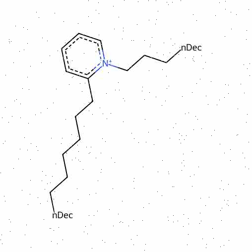 CCCCCCCCCCCCCCCCc1cccc[n+]1CCCCCCCCCCCCC